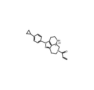 C=CC(=O)N1CCc2nn(-c3ccc(C4CC4)cc3)c3c2[C@H](C1)NCC3